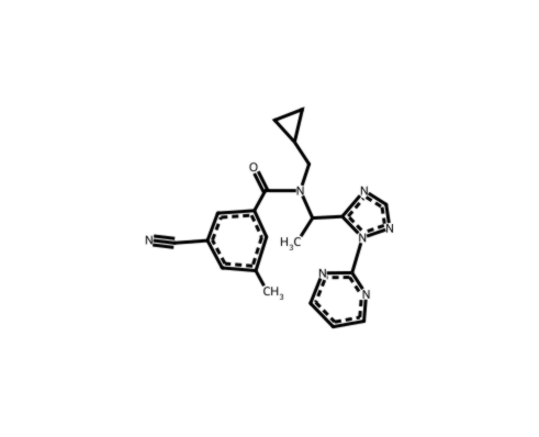 Cc1cc(C#N)cc(C(=O)N(CC2CC2)C(C)c2ncnn2-c2ncccn2)c1